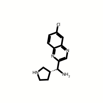 NC(c1cnc2cc(Cl)ccc2n1)[C@@H]1CCNC1